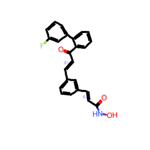 O=C(/C=C/c1cccc(/C=C/C(=O)c2ccccc2-c2cccc(F)c2)c1)NO